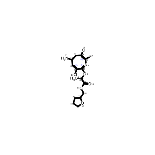 C[C@@H](OC1=N/C(F)=C(/Cl)CC(N)/C=C\1Cl)C(=O)OCC1CCCO1